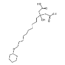 O=C(O)CC(O)(CCCCCCCCCCOC1CCCCC1)CC(=O)O